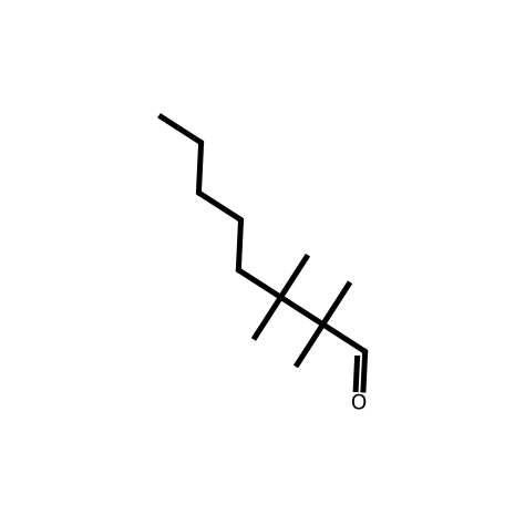 CCCCCC(C)(C)C(C)(C)C=O